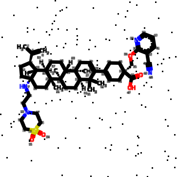 C=C(C)[C@@H]1CC[C@]2(NCCN3CCS(=O)(=O)CC3)CC[C@]3(C)[C@H](CC[C@@H]4[C@@]5(C)CC=C(C6=CC[C@](COc7ncccc7C#N)(C(=O)O)CC6)C(C)(C)[C@H]5CC[C@]43C)[C@@H]12